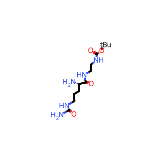 CC(C)(C)OC(=O)NCCNC(=O)[C@@H](N)CCCNC(N)=O